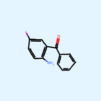 Nc1ccc(I)cc1C(=O)c1ccccc1